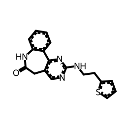 O=C1Cc2cnc(NCCc3cccs3)nc2-c2ccccc2N1